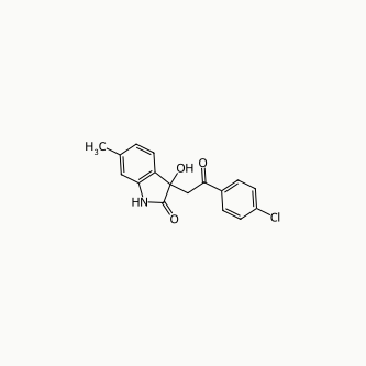 Cc1ccc2c(c1)NC(=O)C2(O)CC(=O)c1ccc(Cl)cc1